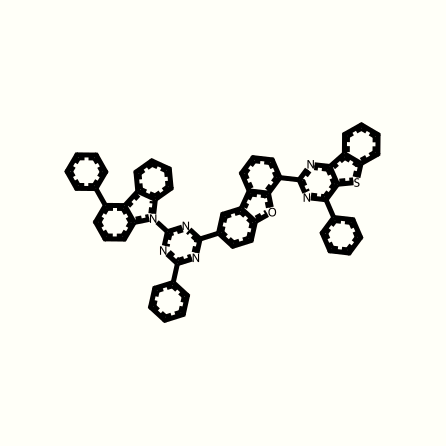 c1ccc(-c2nc(-c3ccc4oc5c(-c6nc(-c7ccccc7)c7sc8ccccc8c7n6)cccc5c4c3)nc(-n3c4ccccc4c4c(-c5ccccc5)cccc43)n2)cc1